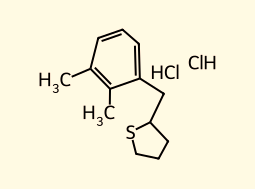 Cc1cccc(CC2CCCS2)c1C.Cl.Cl